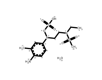 CCN(CCN(OS(=O)(=O)O)c1ccc(N)c(C)c1)S(C)(=O)=O.O